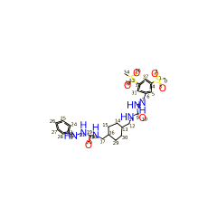 CS(=O)(=O)c1cc(NNC(=O)NCC2CCC(CNC(=O)NNc3ccccc3)CC2)cc(S(C)(=O)=O)c1